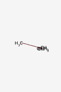 CCCCCCCCCCCCCCCCCCCCCCCCCCCCCCCCCCC(CCCCC(C)C)C(=O)O